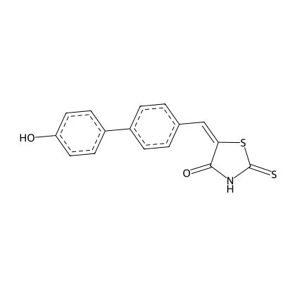 O=C1NC(=S)S/C1=C/c1ccc(-c2ccc(O)cc2)cc1